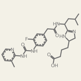 Cc1cccnc1NC(=O)Nc1ccc(CC(=O)NC(CC(C)C)C2=NCC(CCCC(=O)O)N2)cc1F